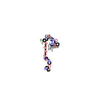 C=C[C@H](NC)C(=O)N[C@H](C(=O)N1CCN(C(=O)c2cc3c(OCCOCCOCCOc4cc(CN5CCC(Oc6ccnc7ccsc67)CC5)on4)c(F)c(F)cc3n2C)CC1)C1CCCCC1